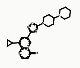 O=c1ccnc2c(C3CC3)cc(-c3nnc(N4CCC(N5CCCCC5)CC4)s3)cn12